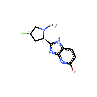 O=C(O)N1C[C@H](F)C[C@@H]1c1nc2nc(Br)ccc2[nH]1